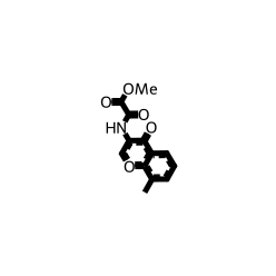 COC(=O)C(=O)Nc1coc2c(C)cccc2c1=O